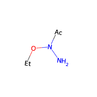 CCON(N)C(C)=O